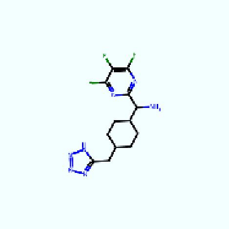 NC(c1nc(F)c(F)c(F)n1)C1CCC(Cc2nnn[nH]2)CC1